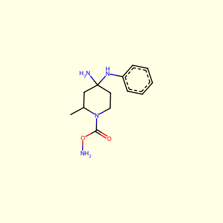 CC1CC(N)(Nc2ccccc2)CCN1C(=O)ON